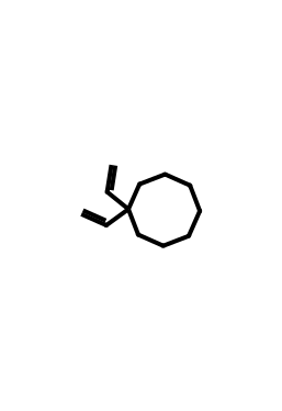 C=CC1(C=C)CCCCCCC1